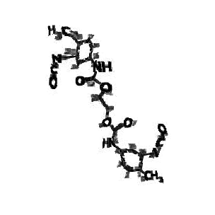 Cc1ccc(NC(=O)OCCOC(=O)Nc2ccc(C)c(N=C=O)c2)cc1N=C=O